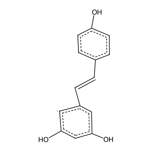 Oc1[c]c(/C=C/c2ccc(O)cc2)cc(O)c1